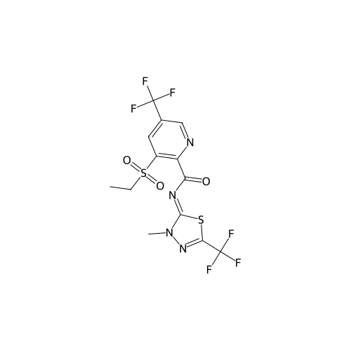 CCS(=O)(=O)c1cc(C(F)(F)F)cnc1C(=O)/N=c1\sc(C(F)(F)F)nn1C